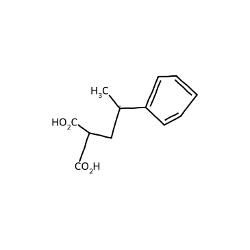 C[C](CC(C(=O)O)C(=O)O)c1ccccc1